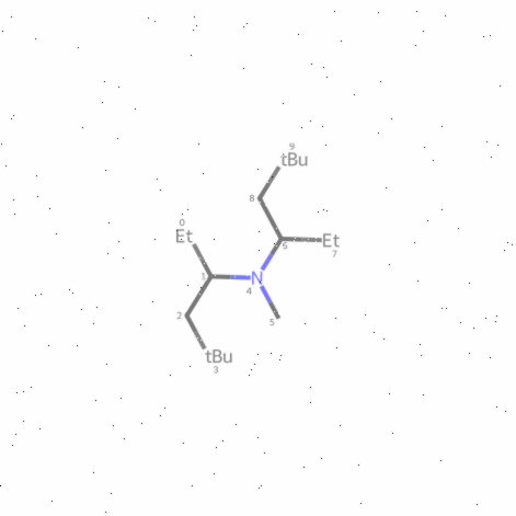 CCC(CC(C)(C)C)N(C)C(CC)CC(C)(C)C